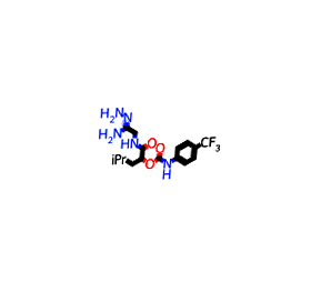 CC(C)CC(OC(=O)Nc1ccc(C(F)(F)F)cc1)C(=O)NC/C(N)=N/N